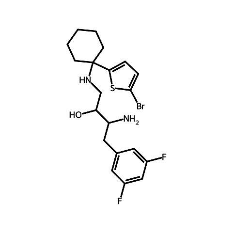 NC(Cc1cc(F)cc(F)c1)C(O)CNC1(c2ccc(Br)s2)CCCCC1